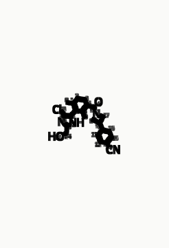 Cc1ccc(C(=O)N2CC(c3ccc(C#N)cc3)C2)c(C)c1-c1[nH]c(CO)nc1Cl